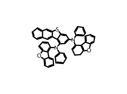 C1=C(N(c2ccccc2)c2cc(N(c3ccccc3)c3cccc4oc5ccccc5c34)c3c(c2)sc2cc4ccccc4cc23)c2c(oc3ccccc23)CC1